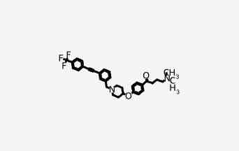 CN(C)CCCC(=O)c1ccc(OC2CCN(Cc3cccc(C#Cc4ccc(C(F)(F)F)cc4)c3)CC2)cc1